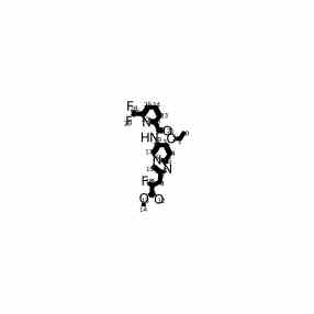 CCOc1cc2nc(CC(F)C(=O)OC)cn2cc1NC(=O)c1cccc(C(F)F)n1